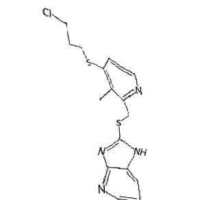 Cc1c(SCCCCl)ccnc1CSc1nc2ncccc2[nH]1